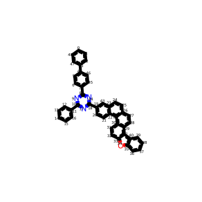 c1ccc(-c2ccc(-c3nc(-c4ccccc4)nc(-c4ccc5c(ccc6ccc7c(ccc8oc9ccccc9c87)c65)c4)n3)cc2)cc1